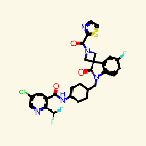 O=C(NC1CCC(CN2C(=O)C3(CN(C(=O)c4nccs4)C3)c3cc(F)ccc32)CC1)c1cc(Cl)cnc1C(F)F